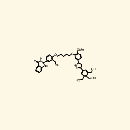 COc1ccc(C2CC(c3cc(CO)c(CO)c(CO)c3)=NO2)cc1OCCCCCOc1ccc(C2NC(=O)c3ccccc3N2)cc1CO